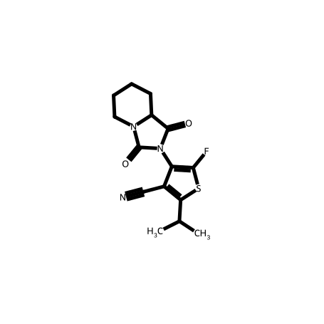 CC(C)c1sc(F)c(N2C(=O)C3CCCCN3C2=O)c1C#N